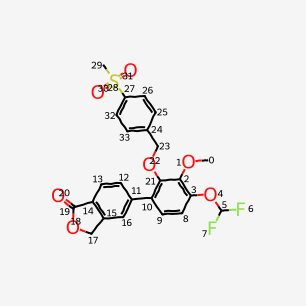 COc1c(OC(F)F)ccc(-c2ccc3c(c2)COC3=O)c1OCc1ccc(S(C)(=O)=O)cc1